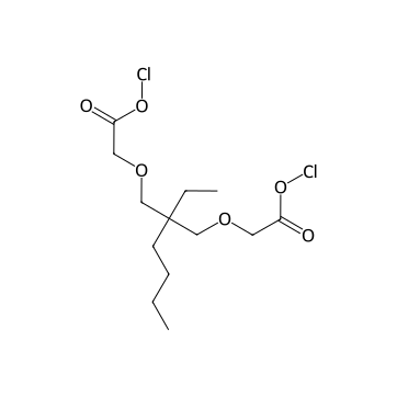 CCCCC(CC)(COCC(=O)OCl)COCC(=O)OCl